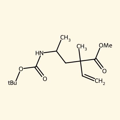 C=CC(C)(CC(C)NC(=O)OC(C)(C)C)C(=O)OC